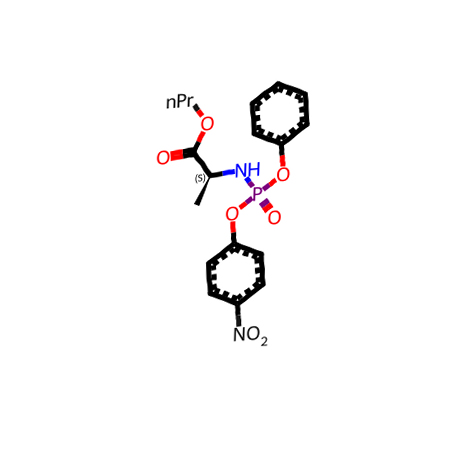 CCCOC(=O)[C@H](C)NP(=O)(Oc1ccccc1)Oc1ccc([N+](=O)[O-])cc1